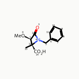 CO[C@H]1C(=O)N(Cc2ccccc2)[C@@]1(C)C(=O)O